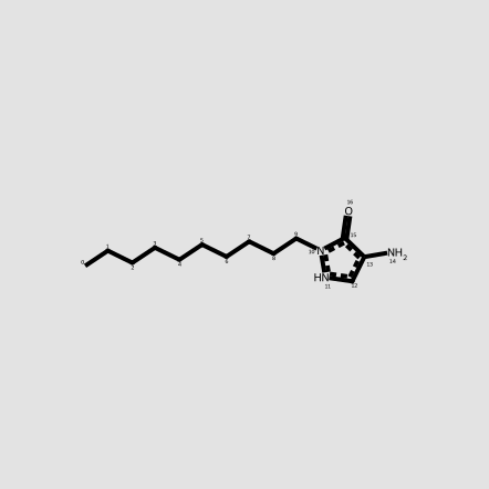 CCCCCCCCCCn1[nH]cc(N)c1=O